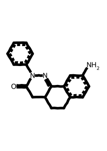 Nc1ccc2c(c1)C1=NN(c3ccccc3)C(=O)CC1CC2